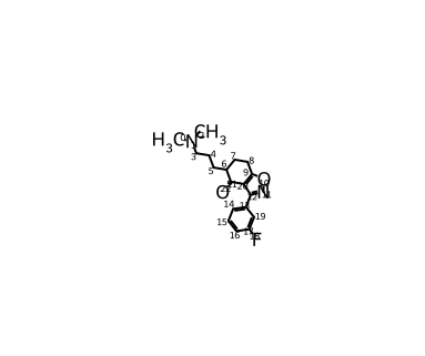 CN(C)CCCC1CCc2onc(-c3cccc(F)c3)c2C1=O